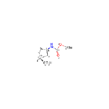 CC(C)(C)OC(=O)N[C@@H]1CC[C@](C)(C(=O)O)C1